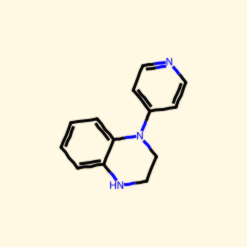 c1ccc2c(c1)NCCN2c1ccncc1